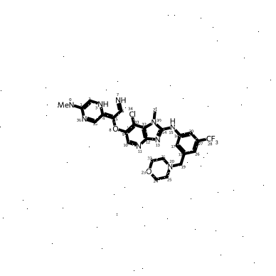 CNC1=CN/C(=C(\C=N)Oc2cnc3nc(Nc4cc(CN5CCOCC5)cc(C(F)(F)F)c4)n(C)c3c2Cl)C=N1